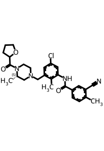 Cc1ccc(C(=O)Nc2cc(Cl)cc(CN3CCN(C(=O)C4CCCO4)[C@@H](C)C3)c2C)cc1C#N